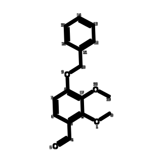 COc1c(C=O)ccc(OCc2ccccc2)c1OC